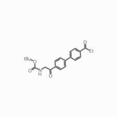 CCC(=O)c1ccc(-c2ccc(C(=O)CNC(=O)OC(C)(C)C)cc2)cc1